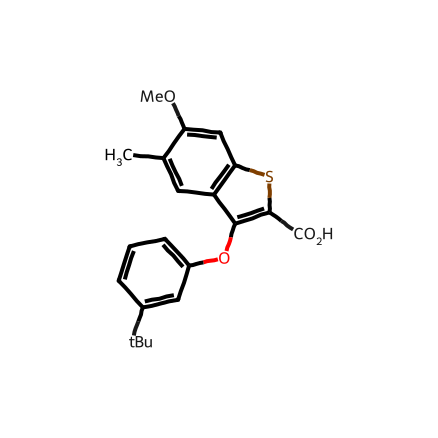 COc1cc2sc(C(=O)O)c(Oc3cccc(C(C)(C)C)c3)c2cc1C